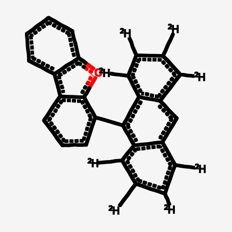 [2H]c1c([2H])c([2H])c2c(-c3cccc4c3oc3ccccc34)c3c([2H])c([2H])c([2H])c([2H])c3cc2c1[2H]